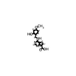 COc1ccc(CNc2ncnc3c(C(=O)O)csc23)c(O)c1